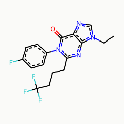 CCn1cnc2c(=O)n(-c3ccc(F)cc3)c(CCCC(F)(F)F)nc21